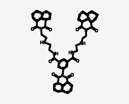 O=C(NCCNCCN1C(=O)c2cccc3cccc(c23)C1=O)c1cc(C(=O)NCCNCCN2C(=O)c3cccc4cccc(c34)C2=O)cc(N2C(=O)c3cccc4cccc(c34)C2=O)c1